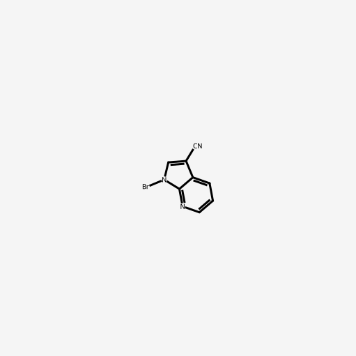 N#Cc1cn(Br)c2ncccc12